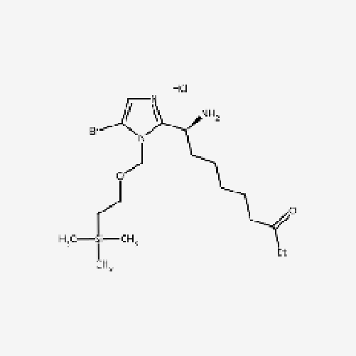 CCC(=O)CCCCC[C@H](N)c1ncc(Br)n1COCC[Si](C)(C)C.Cl